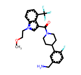 COCCn1cc(C(=O)N2CCC(c3cc(CN)ccc3F)CC2)c2c(C(F)(F)F)cccc21